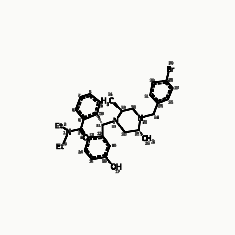 CCN(CC)C(=O)c1ccccc1[C@@H](c1cccc(O)c1)N1C[C@@H](C)N(Cc2ccc(Br)cc2)C[C@@H]1C